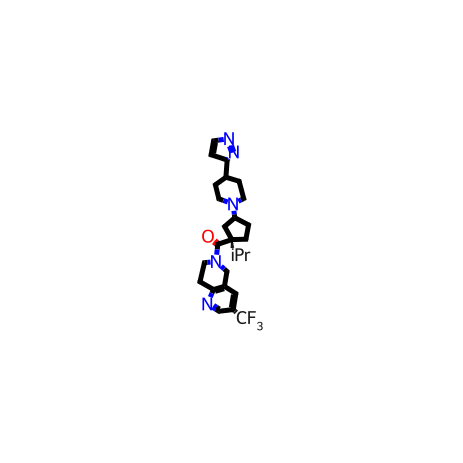 CC(C)[C@]1(C(=O)N2CCc3ncc(C(F)(F)F)cc3C2)CCC(N2CCC(C3C=CN=N3)CC2)C1